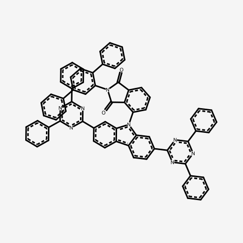 O=C1c2cccc(-n3c4cc(-c5nc(-c6ccccc6)nc(-c6ccccc6)n5)ccc4c4ccc(-c5nc(-c6ccccc6)nc(-c6ccccc6)n5)cc43)c2C(=O)N1c1cc(-c2ccccc2)ccc1-c1ccccc1